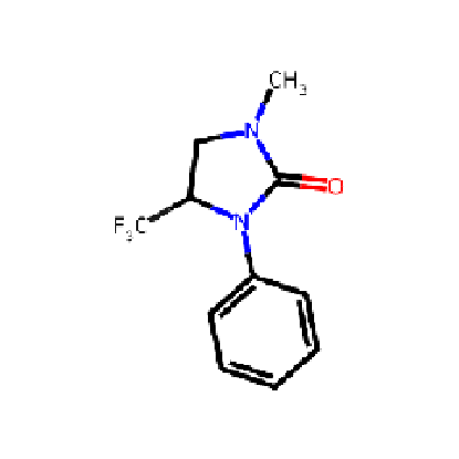 CN1CC(C(F)(F)F)N(c2ccccc2)C1=O